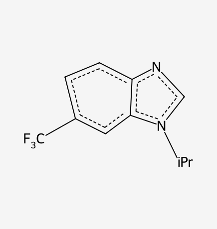 CC(C)n1cnc2ccc(C(F)(F)F)cc21